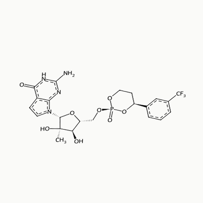 C[C@@]1(O)[C@H](O)[C@@H](CO[P@@]2(=O)OCC[C@@H](c3cccc(C(F)(F)F)c3)O2)O[C@H]1n1ccc2c(=O)[nH]c(N)nc21